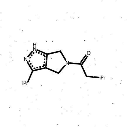 CC(C)CC(=O)N1Cc2[nH]nc(C(C)C)c2C1